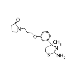 CC1(c2cccc(OCCCN3CCCC3=O)c2)CCSC(N)=N1